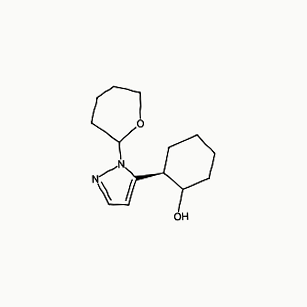 OC1CCCC[C@@H]1c1ccnn1C1CCCCO1